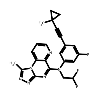 Cc1nnc2nc(N(CC(F)F)c3cc(F)cc(C#CC4(C(F)(F)F)CC4)c3)c3ncccc3n12